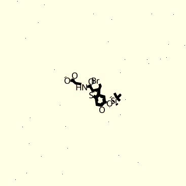 COC(=O)CCNC(=O)c1sc2cc(OC)c(O[Si](C)(C)C(C)(C)C)cc2c1CBr